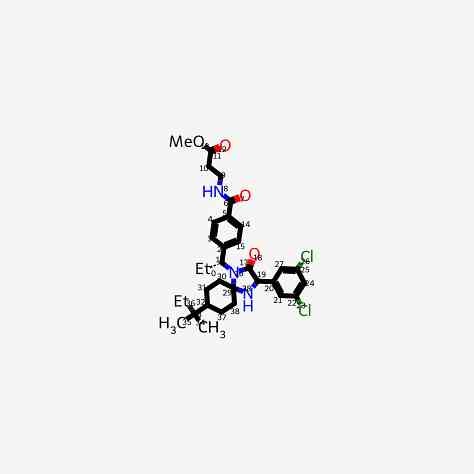 CC[C@H](c1ccc(C(=O)NCCC(=O)OC)cc1)N1C(=O)C(c2cc(Cl)cc(Cl)c2)NC12CCC(C(C)(C)CC)CC2